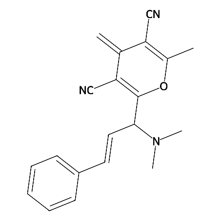 C=C1C(C#N)=C(C)OC(C(C=Cc2ccccc2)N(C)C)=C1C#N